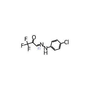 O=C(/C=N/Nc1ccc(Cl)cc1)C(F)(F)F